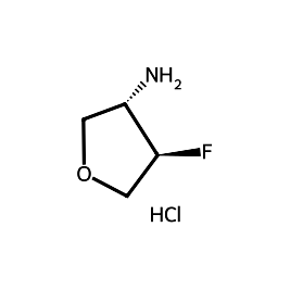 Cl.N[C@H]1COC[C@@H]1F